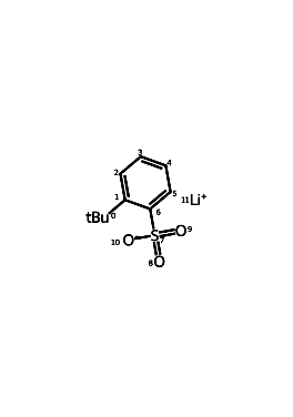 CC(C)(C)c1ccccc1S(=O)(=O)[O-].[Li+]